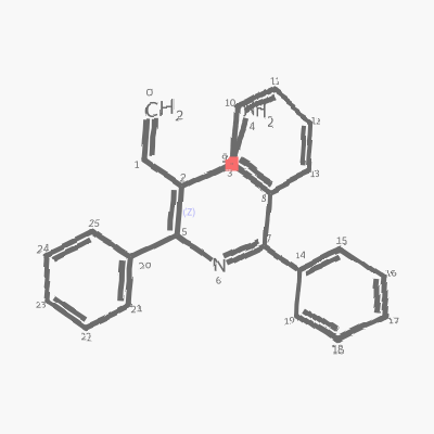 C=C/C(CN)=C(/N=C(c1ccccc1)c1ccccc1)c1ccccc1